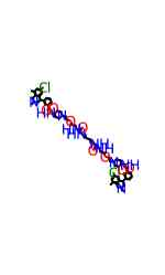 Cc1cc(Cl)cc2c1CN(C)CC2c1cccc(S(=O)(=O)NC2CCN(CCOCCNC(=O)NCCCCNC(=O)NCCOCCN3CCC(NS(=O)(=O)c4cccc(C5CN(C)Cc6c(C)cc(Cl)cc65)c4)CC3)CC2)c1